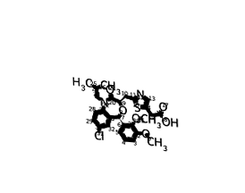 COc1cccc([C@H]2O[C@H](Cc3ncc(CC(=O)O)s3)C(=O)N(CC(C)C)c3ccc(Cl)cc32)c1OC